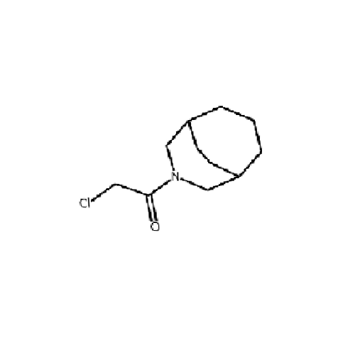 O=C(CCl)N1CC2CCCC(CC2)C1